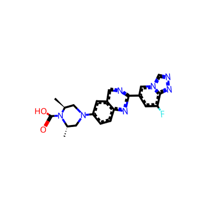 C[C@H]1CN(c2ccc3nc(-c4cc(F)c5nncn5c4)ncc3c2)C[C@H](C)N1C(=O)O